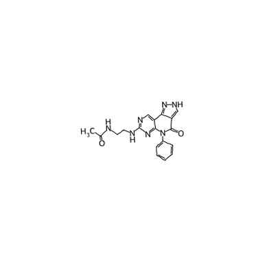 CC(=O)NCCNc1ncc2c3n[nH]cc3c(=O)n(-c3ccccc3)c2n1